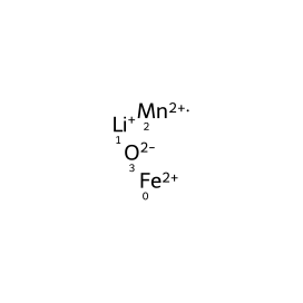 [Fe+2].[Li+].[Mn+2].[O-2]